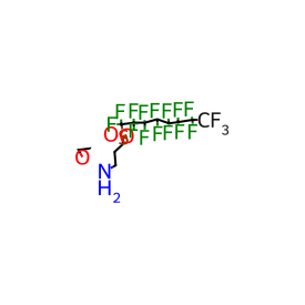 C1CO1.NCCCS(=O)(=O)C(F)(F)C(F)(F)C(F)(F)C(F)(F)C(F)(F)C(F)(F)C(F)(F)C(F)(F)F